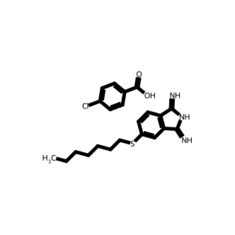 CCCCCCCSc1ccc2c(c1)C(=N)NC2=N.O=C(O)c1ccc(Cl)cc1